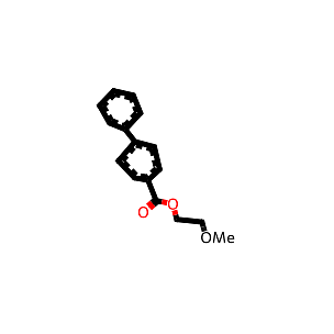 COCCOC(=O)c1ccc(-c2ccccc2)cc1